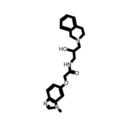 Cn1cnc2ccc(OCC(=O)NCC(O)CN3CCc4ccccc4C3)cc21